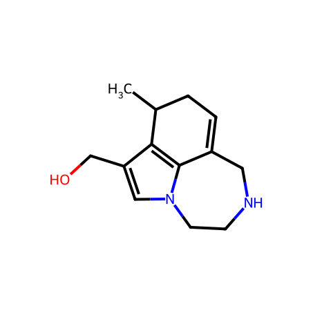 CC1CC=C2CNCCn3cc(CO)c1c32